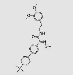 COc1ccc(CCNC(=O)C(=NSC)c2ccc(-c3ccc(C(C)(C)C)cc3)cc2)cc1OC